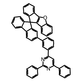 c1ccc(-c2cc(-c3cccc(-c4ccc5c(c4)C4(c6ccccc6-5)c5ccccc5-c5oc6ccccc6c54)c3)nc(-c3ccccc3)n2)cc1